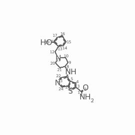 NC(=O)c1cc2c(NC3CCN(Cc4ccccc4O)CC3)cncc2s1